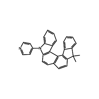 CC1(C)c2ccccc2-c2c1ccc1ccc3c(c4ccccc4n3-c3ccncc3)c21